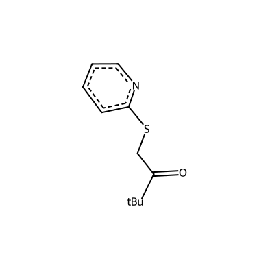 CC(C)(C)C(=O)CSc1ccccn1